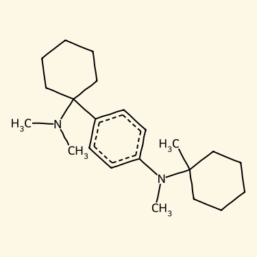 CN(c1ccc(C2(N(C)C)CCCCC2)cc1)C1(C)CCCCC1